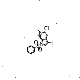 O=S(=O)(c1ccccc1)n1cc(I)c2cc(Cl)nnc21